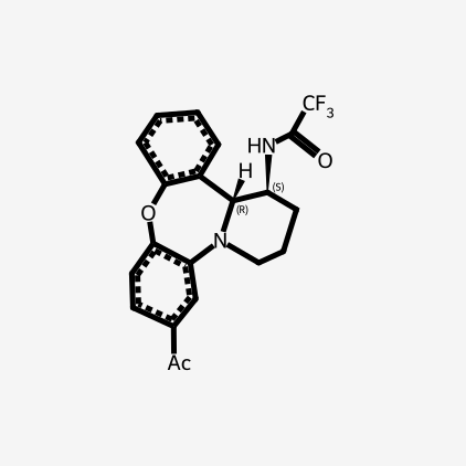 CC(=O)c1ccc2c(c1)N1CCC[C@H](NC(=O)C(F)(F)F)[C@H]1c1ccccc1O2